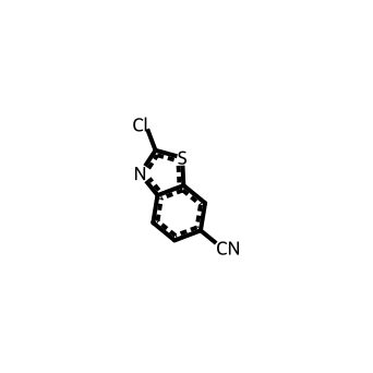 N#Cc1ccc2nc(Cl)sc2c1